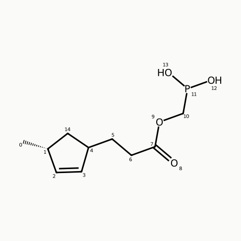 C[C@H]1C=CC(CCC(=O)OCP(O)O)C1